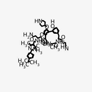 Cc1nc(-c2ccc(C(C)(C)C)cc2)nc(C)c1C(=O)NC(CCN)C(=O)N(C)C1C(=O)NC(C)C(=O)NC(C(=O)NCC#N)Cc2ccc(O)c(c2)-c2cc1ccc2OC1CCNCC1